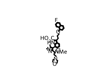 CNC(CCN1CCOCC1)c1nn(C)c(C)c1-c1c(Cl)ccc2c(CCCOc3cccc4cc(F)ccc34)c(C(=O)O)[nH]c12